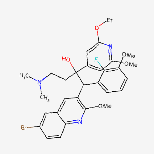 CCOc1cc(C(O)(CCN(C)C)C(c2cc3cc(Br)ccc3nc2OC)c2cccc(OC)c2F)cc(OC)n1